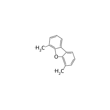 [CH2]c1cccc2c1oc1c([CH2])cccc12